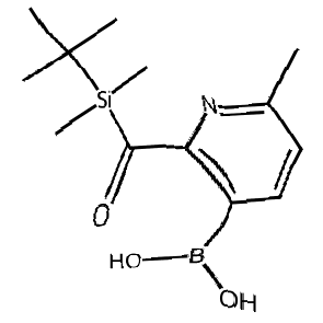 Cc1ccc(B(O)O)c(C(=O)[Si](C)(C)C(C)(C)C)n1